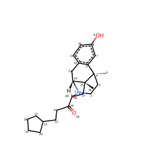 CN1CC[C@]2(C)c3cc(O)ccc3C[C@@H]1[C@@]2(C)CCC(=O)CCC1CCCC1